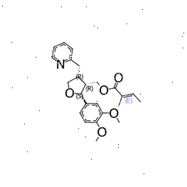 C/C=C(\C)C(=O)OC[C@H]1[C@@H](Cc2ccccn2)CO[C@@H]1c1ccc(OC)c(OC)c1